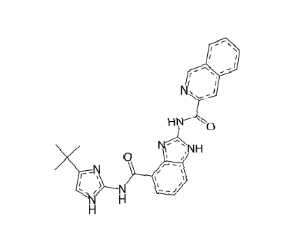 CC(C)(C)c1c[nH]c(NC(=O)c2cccc3[nH]c(NC(=O)c4cc5ccccc5cn4)nc23)n1